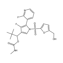 CNC(=O)OC(c1cn(S(=O)(=O)c2ccc(CO)o2)c(-c2cccnc2F)c1F)C(C)(C)C